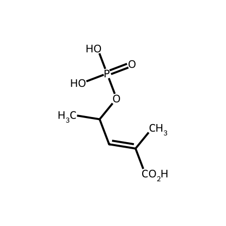 CC(=CC(C)OP(=O)(O)O)C(=O)O